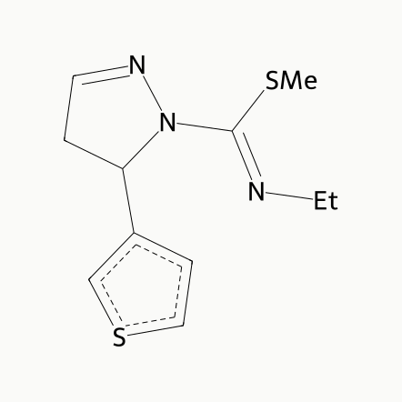 CCN=C(SC)N1N=CCC1c1ccsc1